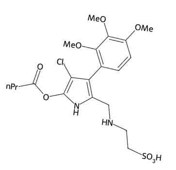 CCCC(=O)Oc1[nH]c(CNCCS(=O)(=O)O)c(-c2ccc(OC)c(OC)c2OC)c1Cl